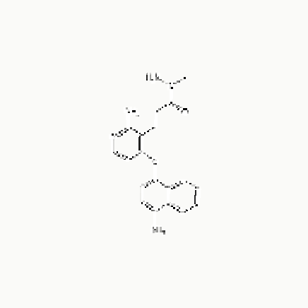 CN(N)C(=O)CCc1c(Oc2ccc(N)c3ccccc23)ccnc1N